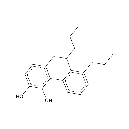 CCCc1cccc2c1C(CCC)Cc1ccc(O)c(O)c1-2